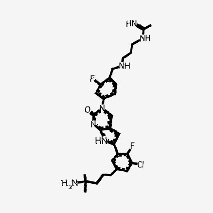 CC(=N)NCCCNCc1ccc(-n2cc3cc(-c4cc(CCCC(C)(C)N)cc(Cl)c4F)[nH]c3nc2=O)cc1F